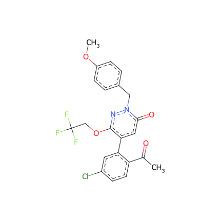 COc1ccc(Cn2nc(OCC(F)(F)F)c(-c3cc(Cl)ccc3C(C)=O)cc2=O)cc1